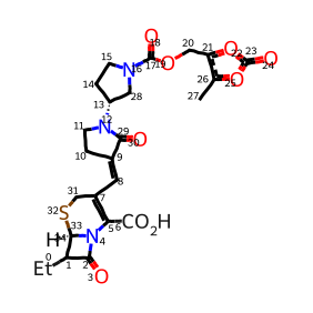 CCC1C(=O)N2C(C(=O)O)=C(/C=C3\CCN([C@@H]4CCN(C(=O)OCc5oc(=O)oc5C)C4)C3=O)CS[C@H]12